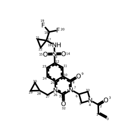 C=CC(=O)N1CC(n2c(=O)c3cc(S(=O)(=O)NC4(C(F)F)CC4)ccc3n(CC3CC3)c2=O)C1